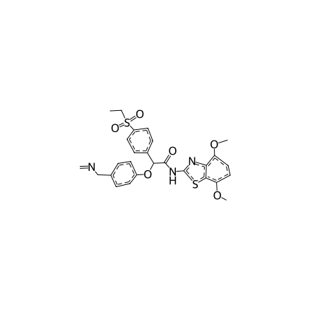 C=NCc1ccc(OC(C(=O)Nc2nc3c(OC)ccc(OC)c3s2)c2ccc(S(=O)(=O)CC)cc2)cc1